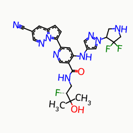 CC(C)(O)[C@H](F)CNC(=O)c1cnc(-c2ccc3cc(C#N)cnn23)cc1Nc1cnn(C2CNCC2(F)F)c1